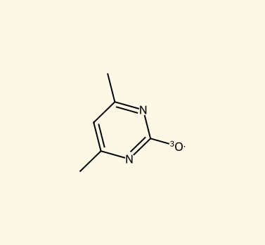 Cc1cc(C)nc([3O])n1